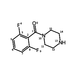 O=C(c1c(F)cccc1F)N1CCNCC1